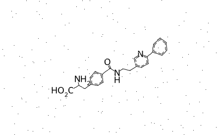 NC(Cc1ccc(C(=O)NCCc2ccc(-c3ccccc3)nc2)cc1)C(=O)O